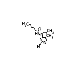 CCCCCC(=O)NN(CC(C)C)c1ccnc(C#N)n1